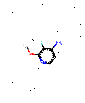 Nc1ccnc(OC(F)(F)F)c1F